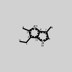 CCc1c(C)sc2c(C)csc12